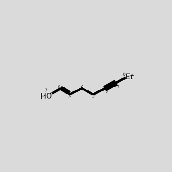 CCC#CCCC=CO